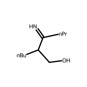 CCCCC(CO)C(=N)CCC